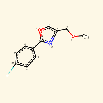 COCc1coc(-c2ccc(F)cc2)n1